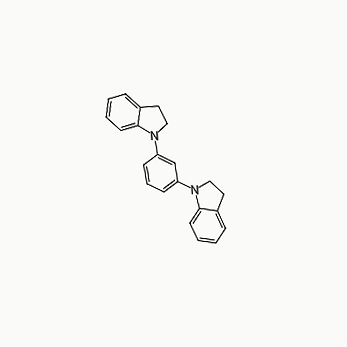 c1cc(N2CCc3ccccc32)cc(N2CCc3ccccc32)c1